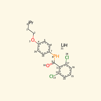 CC(C)CCOc1ccc(PC(=O)c2c(Cl)cccc2Cl)cc1.[LiH]